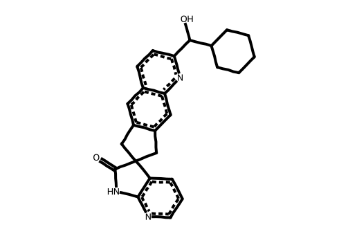 O=C1Nc2ncccc2C12Cc1cc3ccc(C(O)C4CCCCC4)nc3cc1C2